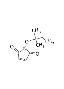 CCC(C)(C)ON1C(=O)C=CC1=O